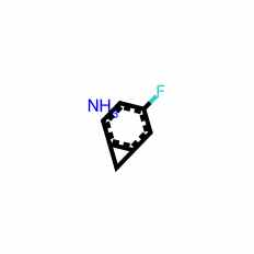 Fc1ccc2c(c1)C2.N